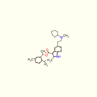 Cc1ccc(C)c(C(C)OC(=O)c2c(C)[nH]c3ccc(CCN(C)C4CCCCC4)cc23)c1